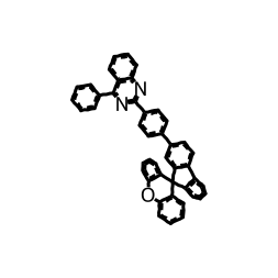 c1ccc(-c2nc(-c3ccc(-c4ccc5c(c4)C4(c6ccccc6Oc6ccccc64)c4ccccc4-5)cc3)nc3ccccc23)cc1